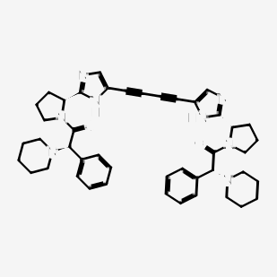 O=C([C@@H](c1ccccc1)N1CCCCC1)N1CCC[C@H]1c1ncc(C#CC#Cc2cnc([C@@H]3CCCN3C(=O)[C@@H](c3ccccc3)N3CCCCC3)[nH]2)[nH]1